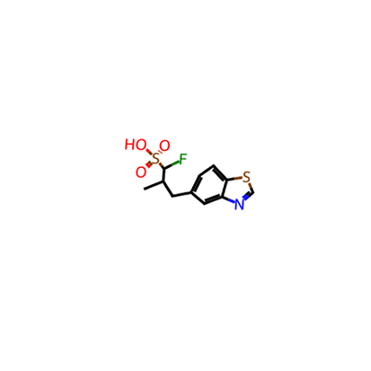 CC(Cc1ccc2scnc2c1)C(F)S(=O)(=O)O